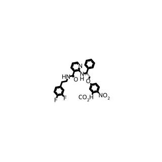 O=C(O)c1cc(OC[C@H](Nc2ncccc2C(=O)NCCc2ccc(F)c(F)c2)c2ccccc2)ccc1[N+](=O)[O-]